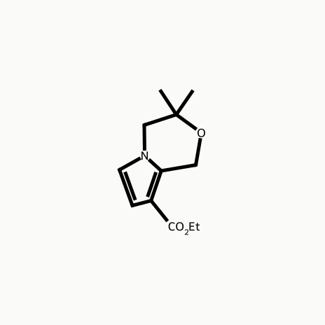 CCOC(=O)c1ccn2c1COC(C)(C)C2